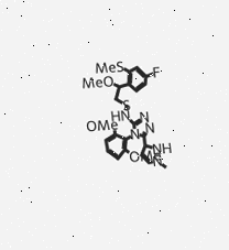 COc1cccc(OC)c1-n1c(NSCC(OC)c2ccc(F)cc2SC)nnc1C1C=CN(C)N1